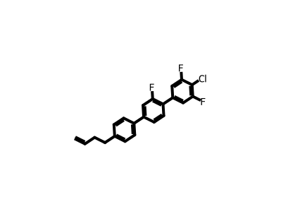 C=CCCc1ccc(-c2ccc(-c3cc(F)c(Cl)c(F)c3)c(F)c2)cc1